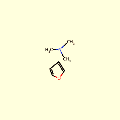 CN(C)C.c1ccoc1